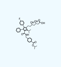 CC(C)OC(=O)c1ccc(CNC(=O)c2c(-c3ccccc3)c(-c3ccc(F)cc3)c(CC[C@@H](O)C[C@@H](O)CC(=O)O)n2C(C)C)cc1